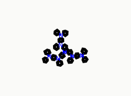 c1ccc(N(c2ccccc2)c2ccc(N(c3ccccc3)c3ccc(-n4c5cc(N(c6ccccc6)c6ccc(N(c7ccccc7)c7ccccc7)cc6)ccc5c5ccc(N(c6ccccc6)c6ccc(N(c7ccccc7)c7ccccc7)cc6)cc54)cc3)cc2)cc1